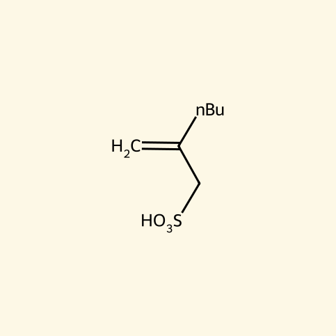 C=C(CCCC)CS(=O)(=O)O